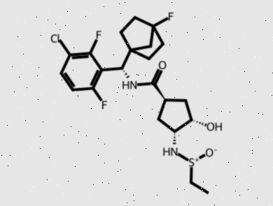 CC[S+]([O-])N[C@@H]1C[C@@H](C(=O)N[C@H](c2c(F)ccc(Cl)c2F)C23CCC(F)(CC2)C3)C[C@@H]1O